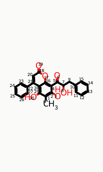 Cc1c(O)c(C(=O)C(O)Cc2ccccc2)c2oc(=O)cc(-c3ccccc3)c2c1O